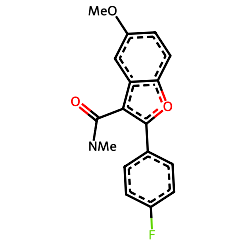 CNC(=O)c1c(-c2ccc(F)cc2)oc2ccc(OC)cc12